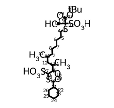 C#CC(SCCCCCCC(C)CC(C)C(=O)C(SC(=O)C1CCCCC1)S(=O)(=O)O)(C(=O)OC(C)(C)C)S(=O)(=O)O